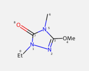 CCn1nc(OC)n(C)c1=O